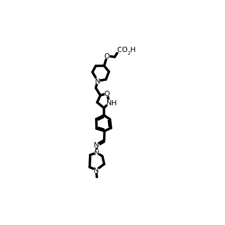 CN1CCN(N=Cc2ccc(C3CC(CN4CCC(OCC(=O)O)CC4)ON3)cc2)CC1